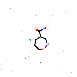 Cl.NC(=O)C1CCCONC1